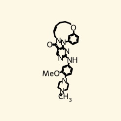 COc1cc(Nc2ncc3c(=O)n4n(c3n2)-c2cccc(c2)OCCC/C=C\C4)ccc1N1CCN(C)CC1